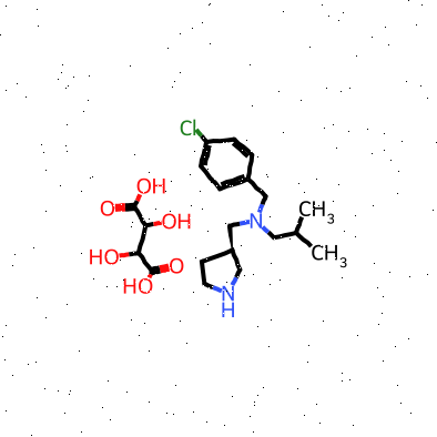 CC(C)CN(Cc1ccc(Cl)cc1)C[C@@H]1CCNC1.O=C(O)C(O)C(O)C(=O)O